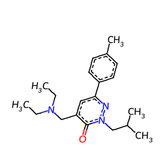 CCN(CC)Cc1cc(-c2ccc(C)cc2)nn(CC(C)C)c1=O